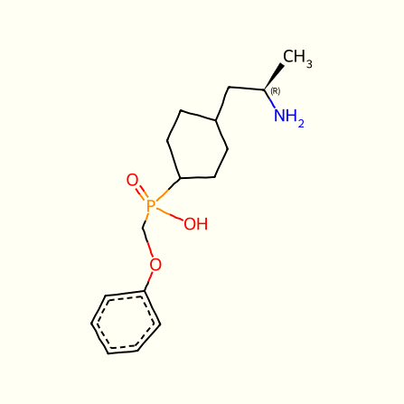 C[C@@H](N)CC1CCC(P(=O)(O)COc2ccccc2)CC1